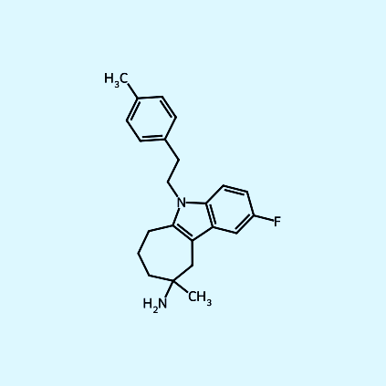 Cc1ccc(CCn2c3c(c4cc(F)ccc42)CC(C)(N)CCC3)cc1